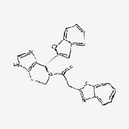 O=C(Cc1nc2ccccc2s1)N1CCc2[nH]cnc2[C@@H]1c1cc2ccccc2o1